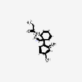 CCC(=O)N/N=C\C1(c2ccc(O)cc2O)C=CC=CC1